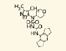 Cc1noc(N(C2CCOCC2)S(=O)(=O)NC(=O)Nc2c3c(cc4c2CCC4)CCC3)c1C